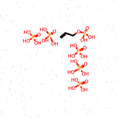 C=CCOP(=O)(O)O.O=P(O)(O)O.O=P(O)(O)O.O=P(O)(O)O.O=P(O)(O)O.O=P(O)(O)O